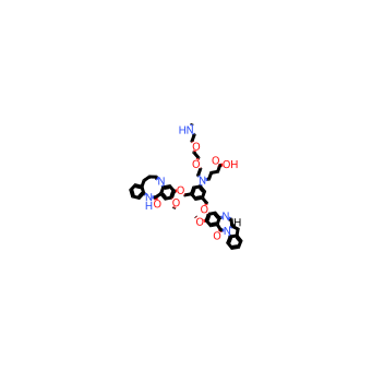 CNCCOCCOCCN(CCCC(=O)O)c1cc(COc2cc3c(cc2OC)C(=O)N2c4ccccc4C[C@H]2C=N3)cc(COc2cc3c(cc2OC)C(=O)Nc2ccccc2CC/C=N\3)c1